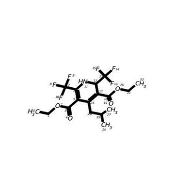 CCOC(=O)C1=C(C(F)(F)F)NC(C(F)(F)F)C(C(=O)OCC)=C1CC(C)C